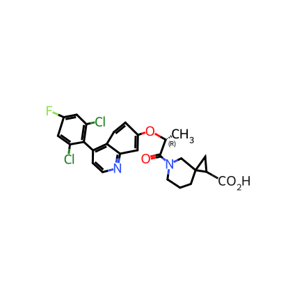 C[C@@H](Oc1ccc2c(-c3c(Cl)cc(F)cc3Cl)ccnc2c1)C(=O)N1CCCC2(CC2C(=O)O)C1